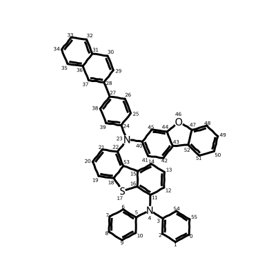 c1ccc(N(c2ccccc2)c2cccc3c2sc2cccc(N(c4ccc(-c5ccc6ccccc6c5)cc4)c4ccc5c(c4)oc4ccccc45)c23)cc1